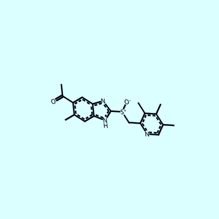 CC(=O)c1cc2nc([S+]([O-])Cc3ncc(C)c(C)c3C)[nH]c2cc1C